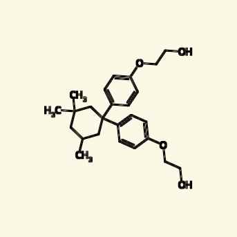 CC1CC(C)(C)CC(c2ccc(OCCO)cc2)(c2ccc(OCCO)cc2)C1